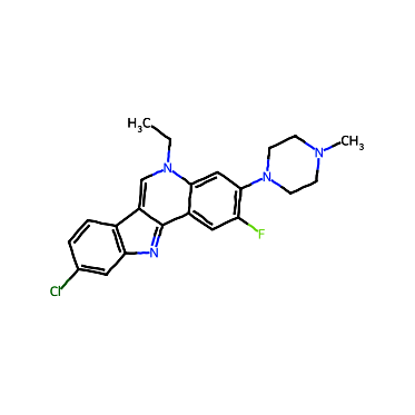 CCn1cc2c3ccc(Cl)cc3nc-2c2cc(F)c(N3CCN(C)CC3)cc21